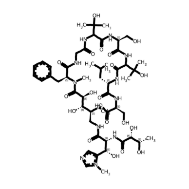 CO[C@@H](CNC(=O)[C@H](NC(=O)[C@H](O)[C@H](C)O)[C@H](O)c1cncn1C)[C@H](O)[C@H](O)C(=O)N(C)[C@@H](Cc1ccccc1)C(=O)NCC(=O)NC(C(=O)N[C@@H](CO)C(=O)NC(C(=O)N[C@@H](CC(C)C)C(=O)N[C@@H](CO)C(=O)O)C(C)(C)O)C(C)(C)O